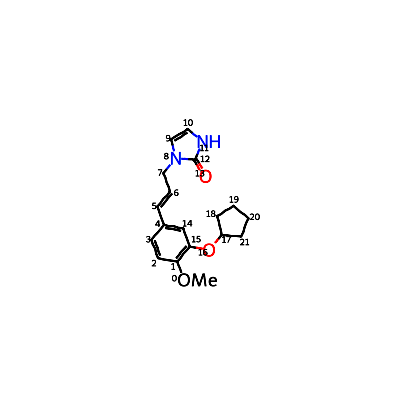 COc1ccc(C=CCn2cc[nH]c2=O)cc1OC1CCCC1